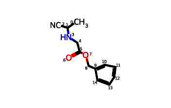 CC(C#N)NCC(=O)OCc1ccccc1